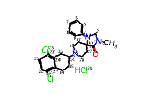 CN1CN(c2ccccc2)C2(CCN(C3CCc4c(Cl)ccc(Cl)c4C3)CC2)C1=O.Cl